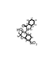 CC1(C)Oc2cc([N+](=O)[O-])ccc2C(N2Cc3ccccc3C2=O)C1O